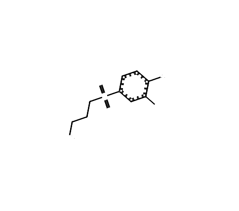 CCCCCCCCCCCCS(=O)(=O)c1ccc([NH])c(Cl)c1